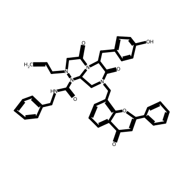 C=CCN1CC(=O)N2C(Cc3ccc(O)cc3)C(=O)N(Cc3cccc4c(=O)cc(-c5ccccc5)oc34)CC2N1C(=O)NCc1ccccc1